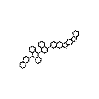 c1ccc2cc(-c3c4ccccc4c(-c4ccc(-c5ccc6cc7c(cc6c5)sc5cc6sc8ccccc8c6cc57)c5ccccc45)c4ccccc34)ccc2c1